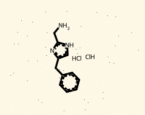 Cl.Cl.NCc1nc(Cc2ccccc2)c[nH]1